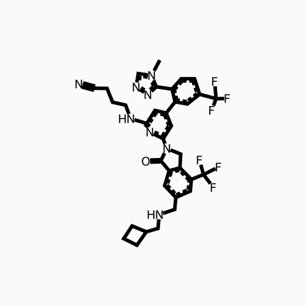 Cn1cnnc1-c1ccc(C(F)(F)F)cc1-c1cc(NCCCC#N)nc(N2Cc3c(cc(CNCC4CCC4)cc3C(F)(F)F)C2=O)c1